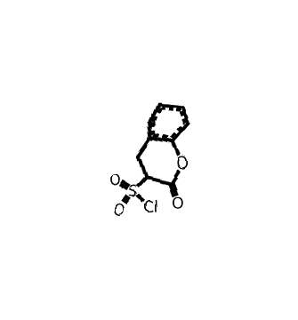 O=C1Oc2ccccc2CC1S(=O)(=O)Cl